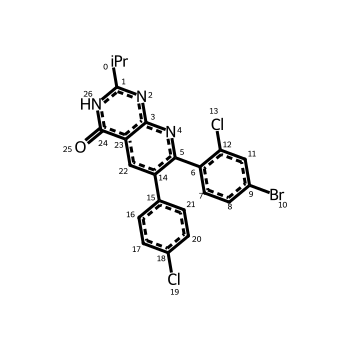 CC(C)c1nc2nc(-c3ccc(Br)cc3Cl)c(-c3ccc(Cl)cc3)cc2c(=O)[nH]1